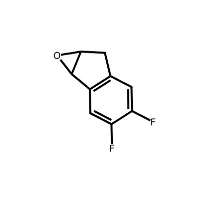 Fc1cc2c(cc1F)C1OC1C2